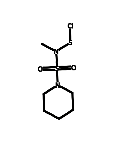 CN(SCl)S(=O)(=O)N1CCCCC1